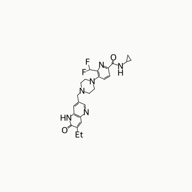 CCc1cc2ncc(CN3CCN(c4ccc(C(=O)NC5CC5)nc4C(F)F)CC3)cc2[nH]c1=O